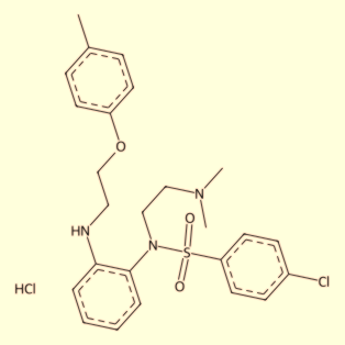 Cc1ccc(OCCNc2ccccc2N(CCN(C)C)S(=O)(=O)c2ccc(Cl)cc2)cc1.Cl